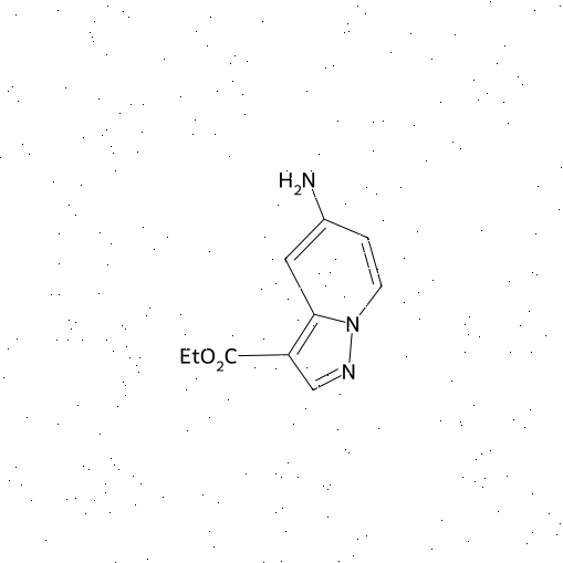 CCOC(=O)c1cnn2ccc(N)cc12